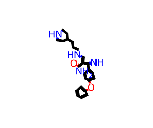 N=C(/C(=C/NCCCC1CCNCC1)C(N)=O)c1ccc(Oc2ccccc2)cc1